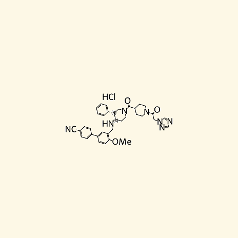 COc1ccc(-c2ccc(C#N)cc2)cc1CN[C@H]1CCN(C(=O)C2CCN(C(=O)Cn3cncn3)CC2)C[C@H]1c1ccccc1.Cl